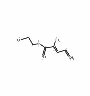 C=C/C=C(\C)C(=N)NCCC